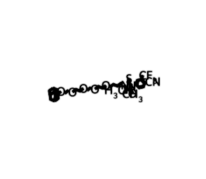 CC1(C)C(=O)N(c2ccc(C#N)c(C(F)(F)F)c2)C(=S)N1CCCCOCCOCCOCCOCCOC12CC3CC(CC(C3)C1)C2